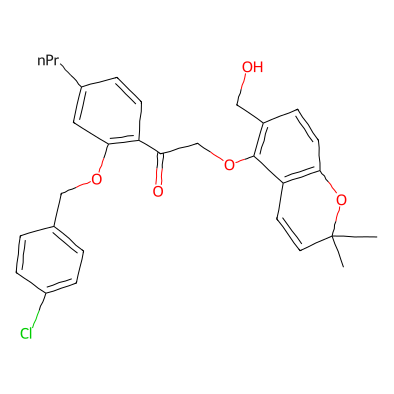 CCCc1ccc(C(=O)COc2c(CO)ccc3c2C=CC(C)(C)O3)c(OCc2ccc(Cl)cc2)c1